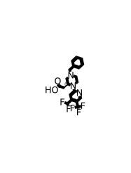 O=C(O)C[C@H]1CN(Cc2ccccc2)CCN1c1cc(C(F)F)c(C(F)(F)F)cn1